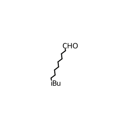 CCC(C)CCCCCCCCC=O